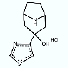 Cl.OC1(c2cscn2)CC2CCC(C1)N2